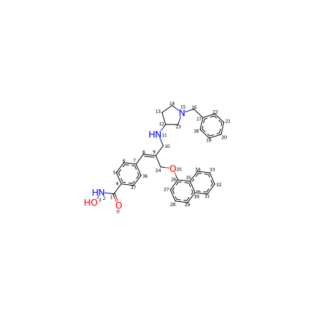 O=C(NO)c1ccc(/C=C(/CNC2CCN(Cc3ccccc3)C2)COc2cccc3ccccc23)cc1